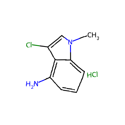 Cl.Cn1cc(Cl)c2c(N)cccc21